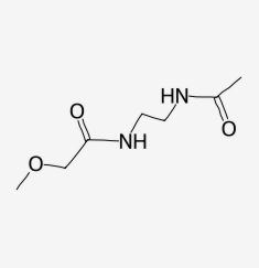 COCC(=O)NCCNC(C)=O